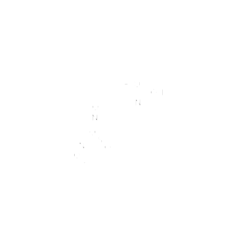 CCOC(O)N(C)c1cc2c(CS(=O)(=O)C3CC(C)(C)ON3C)noc2cc1F